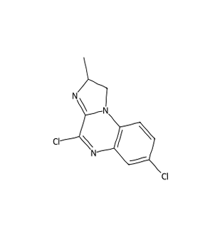 CC1CN2C(=N1)C(Cl)=Nc1cc(Cl)ccc12